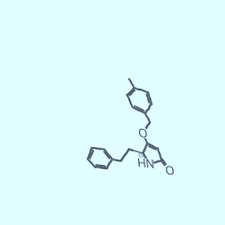 Cc1ccc(COC2=CC(=O)N[C@H]2CCc2ccccc2)cc1